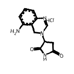 Cl.Nc1cccc2c1CN(C1CC(=O)NC1=O)C=N2